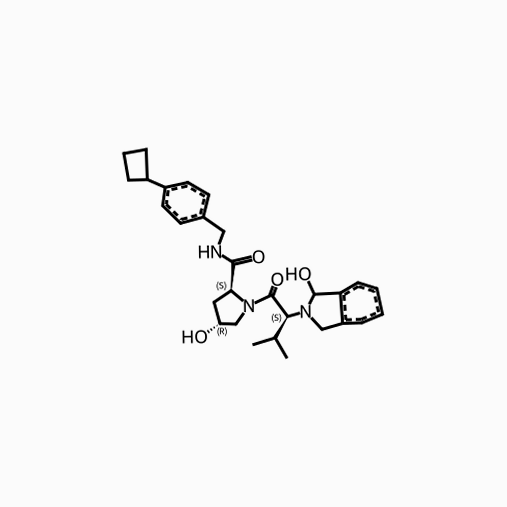 CC(C)[C@@H](C(=O)N1C[C@H](O)C[C@H]1C(=O)NCc1ccc(C2CCC2)cc1)N1Cc2ccccc2C1O